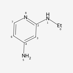 CCNc1cc(N)ccn1